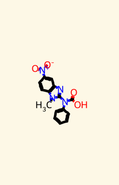 Cn1c(N(C(=O)O)c2ccccc2)nc2cc([N+](=O)[O-])ccc21